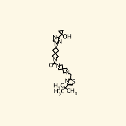 CC(C)(C)c1csc(CN2CC3(C2)CN(C(=O)N2CC4(CC(n5cnc(C6(O)CC6)n5)C4)C2)C3)n1